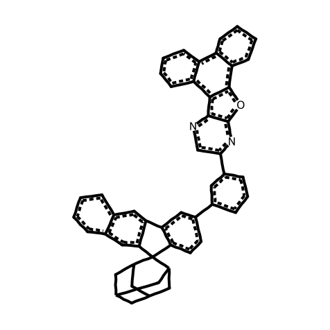 c1cc(-c2ccc3c(c2)-c2cc4ccccc4cc2C32C3CC4CC(C3)CC2C4)cc(-c2cnc3c(n2)oc2c4ccccc4c4ccccc4c32)c1